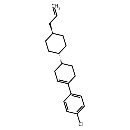 C=CC[C@H]1CC[C@H](C2CC=C(c3ccc(Cl)cc3)CC2)CC1